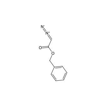 [N-]=[N+]=CC(=O)OCc1ccccc1